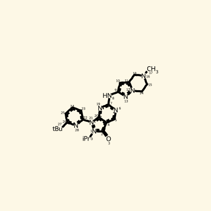 CC(C)n1c(=O)c2cnc(Nc3cc4n(n3)CCN(C)C4)nc2n1-c1cccc(C(C)(C)C)n1